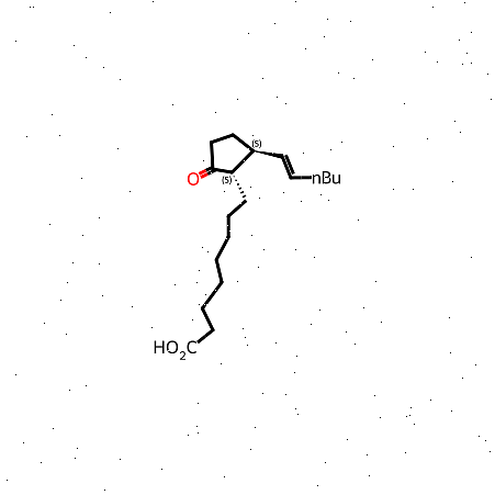 CCCCC=C[C@@H]1CCC(=O)[C@H]1CCCCCCCC(=O)O